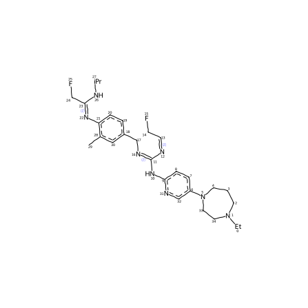 CCN1CCCN(c2ccc(NC(/N=C\CF)=N/Cc3ccc(/N=C(/CF)NC(C)C)c(C)c3)nc2)CC1